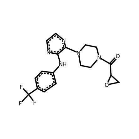 O=C(C1CO1)N1CCN(c2nccnc2Nc2ccc(C(F)(F)F)cc2)CC1